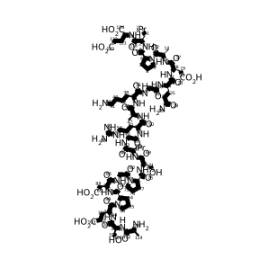 CC(C)C[C@H](NC(=O)[C@@H]1CCCN1C(=O)[C@H](C)NC(=O)[C@H](CC(=O)O)NC(=O)[C@H](CCC(N)=O)NC(=O)CNC(=O)[C@H](CCCCN)NC(=O)[C@H](C)NC(=O)[C@H](CCCNC(=N)N)NC(=O)CNC(=O)[C@@H](NC(=O)[C@H](CO)NC(=O)[C@@H]1CCCN1C(=O)CNC(=O)[C@H](CC(=O)O)NC(=O)[C@@H]1CCCN1C(=O)[C@H](CCC(=O)O)NC(=O)[C@H](CO)NC(=O)[C@H](C)N)C(C)C)C(=O)N[C@@H](CCC(=O)O)C(=O)O